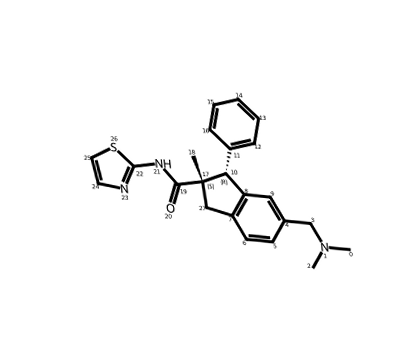 CN(C)Cc1ccc2c(c1)[C@@H](c1ccccc1)[C@@](C)(C(=O)Nc1nccs1)C2